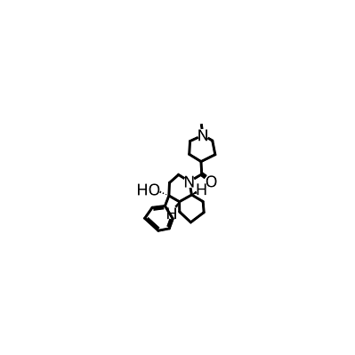 CN1CCC(C(=O)N2CC[C@](O)(c3ccccc3)[C@H]3CCCC[C@H]32)CC1